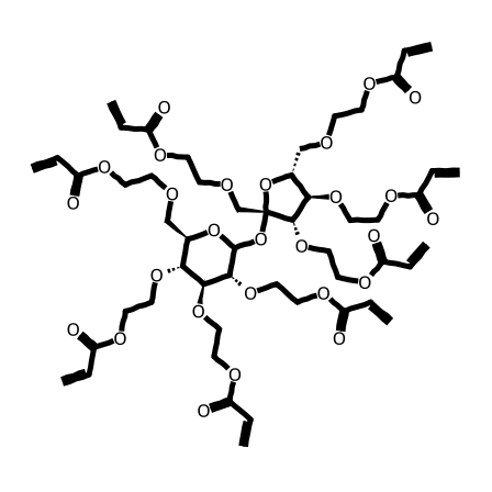 C=CC(=O)OCCOC[C@H]1O[C@@](COCCOC(=O)C=C)(OC2O[C@H](COCCOC(=O)C=C)[C@@H](OCCOC(=O)C=C)[C@H](OCCOC(=O)C=C)[C@H]2OCCOC(=O)C=C)[C@@H](OCCOC(=O)C=C)[C@@H]1OCCOC(=O)C=C